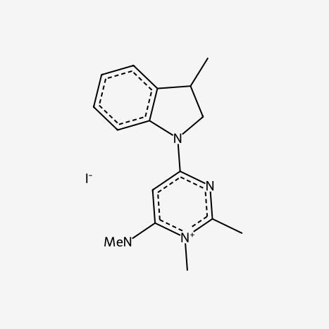 CNc1cc(N2CC(C)c3ccccc32)nc(C)[n+]1C.[I-]